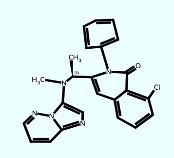 C[C@@H](c1cc2cccc(Cl)c2c(=O)n1-c1ccccc1)N(C)c1cnc2cccnn12